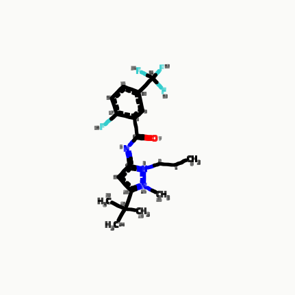 CCCn1c(=NC(=O)c2cc(C(F)(F)F)ccc2F)cc(C(C)(C)C)n1C